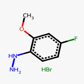 Br.COc1cc(F)ccc1NN